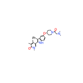 Cc1c(-c2[nH]c3ccc(OC4CCN(C(=O)CN(C)C)CC4)cc3c2C(C)C)cn(C)c(=O)c1C